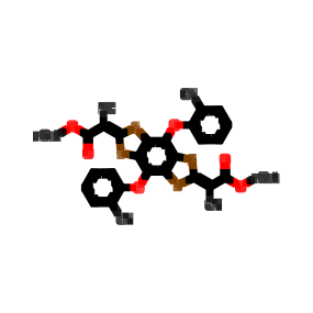 [C-]#[N+]/C(C(=O)OCCCCCCCC)=C1/Sc2c(Oc3ccccc3C#N)c3c(c(Oc4ccccc4[N+]#[C-])c2S1)S/C(=C(/C#N)C(=O)OCCCCCCCC)S3